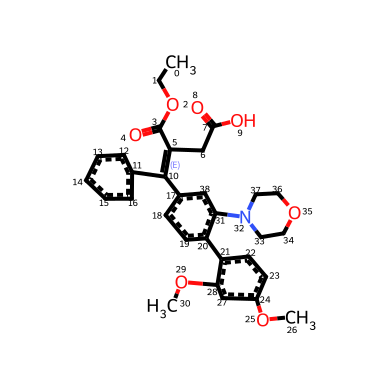 CCOC(=O)/C(CC(=O)O)=C(\c1ccccc1)c1ccc(-c2ccc(OC)cc2OC)c(N2CCOCC2)c1